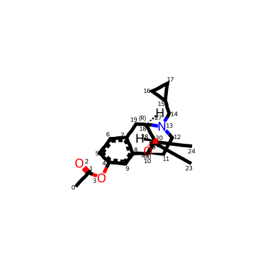 CC(=O)Oc1ccc2c(c1)[C@]13CCN(CC4CC4)[C@H](C2)[C@@H]1CC(C)(C)OC3